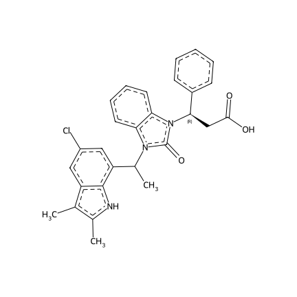 Cc1[nH]c2c(C(C)n3c(=O)n([C@H](CC(=O)O)c4ccccc4)c4ccccc43)cc(Cl)cc2c1C